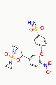 CC(OP(=O)(N1CC1)N1CC1)c1ccc([N+](=O)[O-])c(Oc2ccc(S(N)(=O)=O)cc2)c1